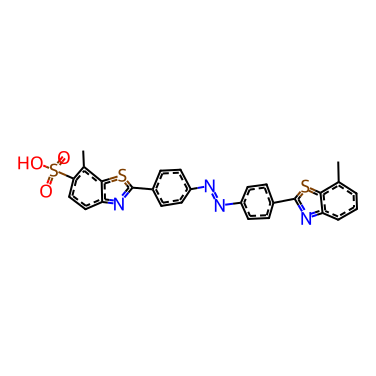 Cc1cccc2nc(-c3ccc(N=Nc4ccc(-c5nc6ccc(S(=O)(=O)O)c(C)c6s5)cc4)cc3)sc12